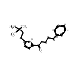 CC(C)(N)CCc1ccc(C(=O)CCCCc2ccccc2)s1